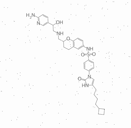 Nc1ccc(C(O)CNCC2CCc3cc(NS(=O)(=O)c4ccc(-n5cc(CCCCC6CCC6)[nH]c5=O)cc4)ccc3O2)cn1